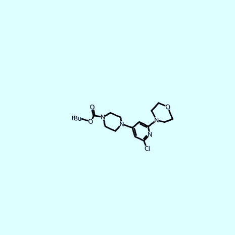 CC(C)(C)OC(=O)N1CCN(c2cc(Cl)nc(N3CCOCC3)c2)CC1